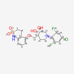 O=S1(=O)CCc2c(cccc2OC[C@]2(O)CCN(c3c(F)cc(Cl)cc3F)C[C@H]2O)N1